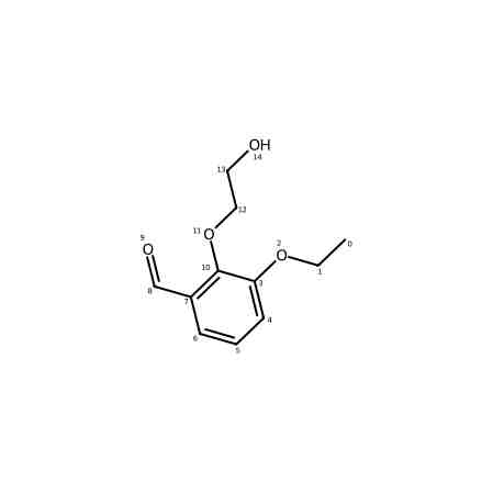 CCOc1cccc(C=O)c1OCCO